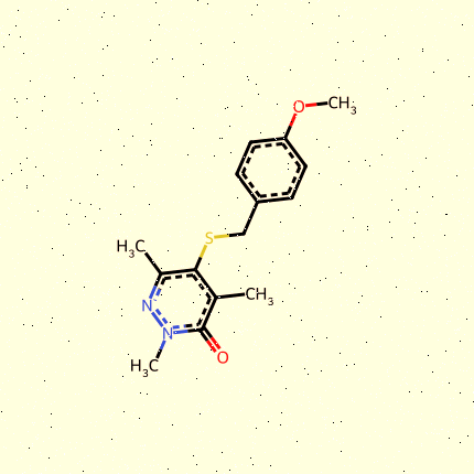 COc1ccc(CSc2c(C)nn(C)c(=O)c2C)cc1